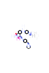 CN(C)c1ccc(Nc2ccc3c(c2)/C(=C/Nc2ccc(CN4CCCCC4)cc2)C(=O)NC3=O)cc1